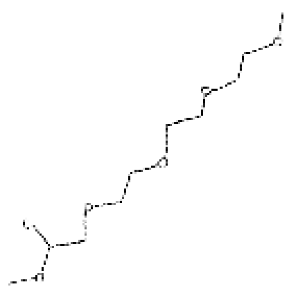 COCCOCCOCCOCC(Cl)OC